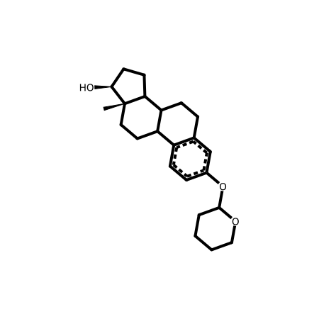 C[C@]12CCC3c4ccc(OC5CCCCO5)cc4CCC3C1CC[C@@H]2O